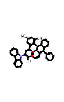 N#Cc1cc(C#N)c(-c2c3ccccc3c(-c3ccccc3)c3ccccc23)c(-c2ccc(C#N)c(-n3c4ccccc4c4ccccc43)c2)c1